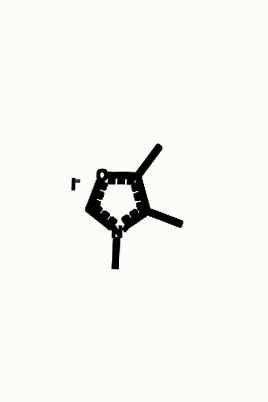 Cc1oc[n+](C)c1C.[I-]